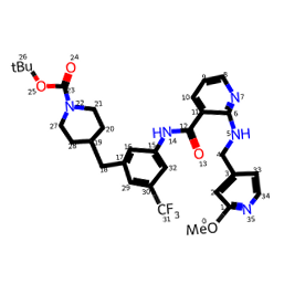 COc1cc(CNc2ncccc2C(=O)Nc2cc(CC3CCN(C(=O)OC(C)(C)C)CC3)cc(C(F)(F)F)c2)ccn1